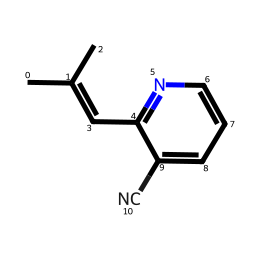 CC(C)=Cc1ncccc1C#N